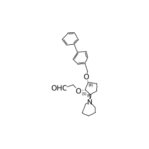 O=CCO[C@H]1[C@H](N2CCCCC2)CC[C@H]1OCc1ccc(-c2ccccc2)cc1